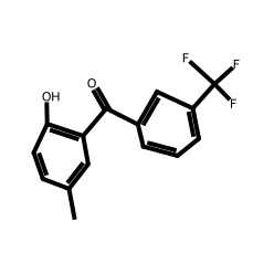 Cc1ccc(O)c(C(=O)c2cccc(C(F)(F)F)c2)c1